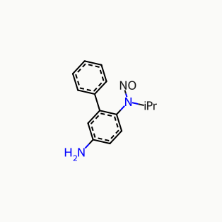 CC(C)N(N=O)c1ccc(N)cc1-c1ccccc1